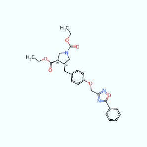 CCOC(=O)[C@H]1CN(C(=O)OCC)C[C@H]1Cc1ccc(OCc2noc(-c3ccccc3)n2)cc1